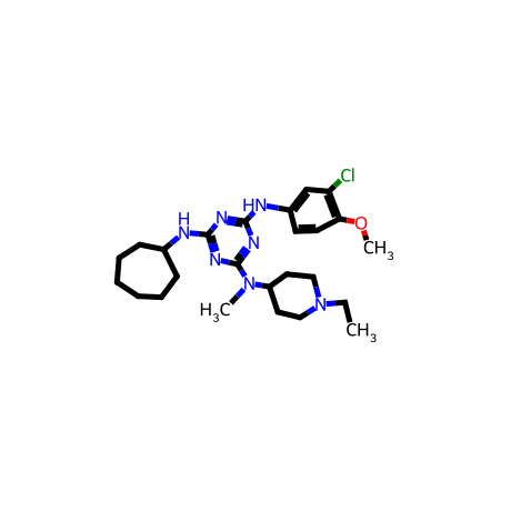 CCN1CCC(N(C)c2nc(Nc3ccc(OC)c(Cl)c3)nc(NC3CCCCCC3)n2)CC1